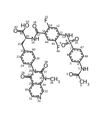 CC(=O)Nc1ccc(S(=O)(=O)Nc2cc(F)c(C(=O)N[C@@H](Cc3ccc(-n4c(=O)c5ccncc5n(C)c4=O)cc3)C(=O)O)cc2F)cc1